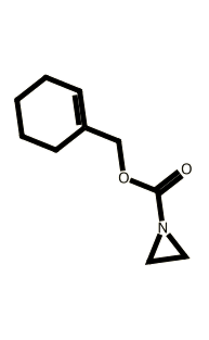 O=C(OCC1=CCCCC1)N1CC1